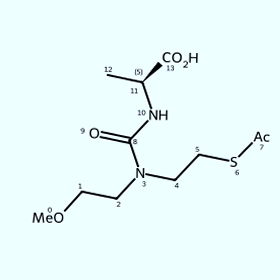 COCCN(CCSC(C)=O)C(=O)N[C@@H](C)C(=O)O